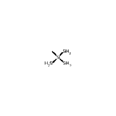 C[Si]([SiH3])([SiH3])[SiH3]